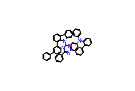 c1ccc(-c2cccc(-c3cccc4c5ccccc5n(-c5nc(-c6ccccc6)nc(-c6cccc(-c7ccccc7N(c7ccccc7)c7ccccc7)c6)n5)c34)c2)cc1